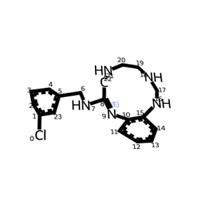 Clc1cccc(CN/C2=N/c3ccccc3NCNCCNC2)c1